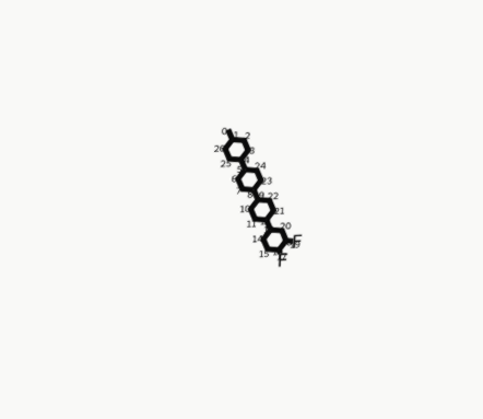 CC1CCC(C2CCC(C3CCC(C4CCC(F)C(F)C4)CC3)CC2)CC1